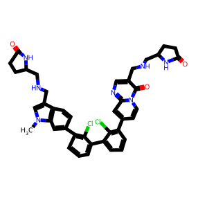 Cn1cc(CNCC2CCC(=O)N2)c2ccc(-c3cccc(-c4cccc(-c5ccn6c(=O)c(CNCC7CCC(=O)N7)cnc6c5)c4Cl)c3Cl)cc21